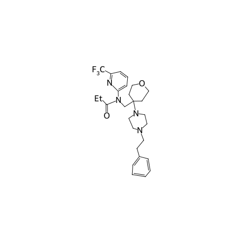 CCC(=O)N(CC1(N2CCN(CCc3ccccc3)CC2)CCOCC1)c1cccc(C(F)(F)F)n1